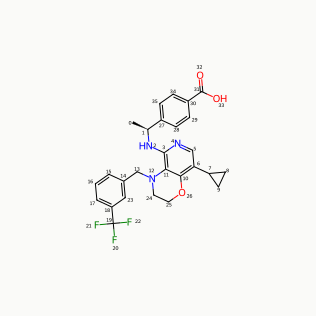 C[C@H](Nc1ncc(C2CC2)c2c1N(Cc1cccc(C(F)(F)F)c1)CCO2)c1ccc(C(=O)O)cc1